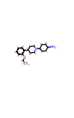 NC1CCC(N2CCC(c3ccccc3OCC(F)(F)F)CC2)CC1